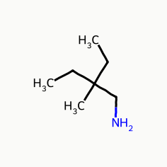 CCC(C)(CC)CN